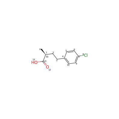 C[C@@H](CCc1ccc(Cl)cc1)C(=O)O